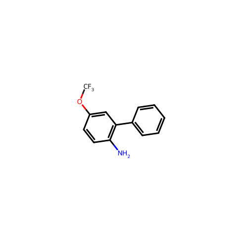 Nc1ccc(OC(F)(F)F)cc1-c1ccccc1